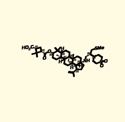 C=C(C)[C@@H]1CC[C@]2(NC[C@H](CSC)N3CCS(=O)(=O)CC3)CC[C@]3(C)[C@H](CC[C@@H]4[C@@]5(C)CC[C@H](OC(=O)[C@H]6C[C@@H](C(=O)O)C6(C)C)C(C)(C)[C@@H]5CC[C@]43C)[C@@H]12